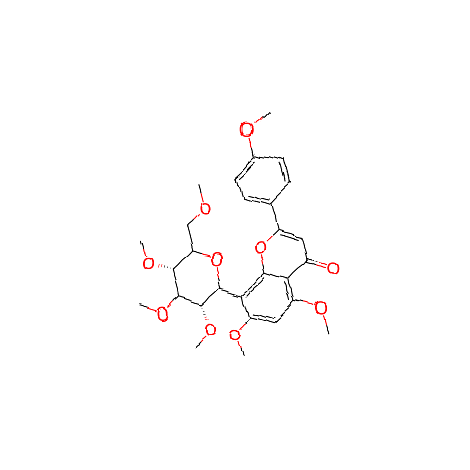 COCC1OC(c2c(OC)cc(OC)c3c(=O)cc(-c4ccc(OC)cc4)oc23)[C@H](OC)C(OC)[C@@H]1OC